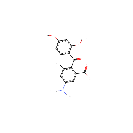 COc1ccc(C(=O)c2c(C)cc(N(C)C)cc2C(=O)O)c(OC)c1